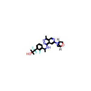 Cc1nnc(NC(C)c2cccc(C(F)(F)C(C)(C)O)c2F)c2cc(N3C[C@H]4C[C@@H]3CO4)ncc12